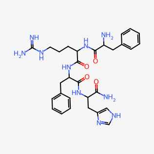 N=C(N)NCCCC(NC(=O)C(N)Cc1ccccc1)C(=O)NC(Cc1ccccc1)C(=O)NC(Cc1c[nH]cn1)C(N)=O